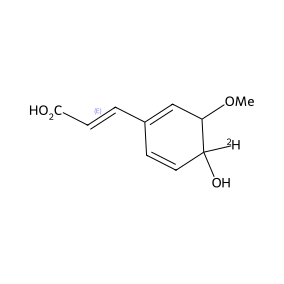 [2H]C1(O)C=CC(/C=C/C(=O)O)=CC1OC